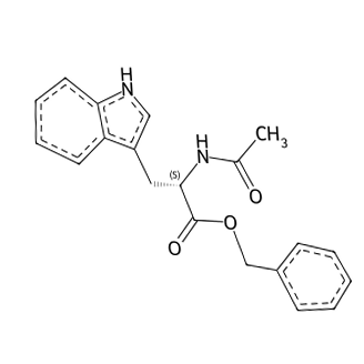 CC(=O)N[C@@H](Cc1c[nH]c2ccccc12)C(=O)OCc1ccccc1